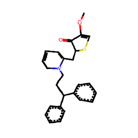 COC1=CSC(CC2=CC=CCN2CCC(c2ccccc2)c2ccccc2)C1=O